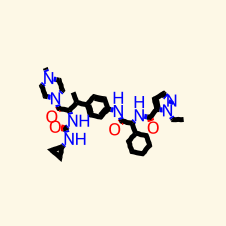 CCn1nccc1C(=O)NC(C(=O)Nc1ccc(C(C)C(NC(=O)NC2CC2)C(=O)N2CCN(C)CC2)cc1)C1CCCCC1